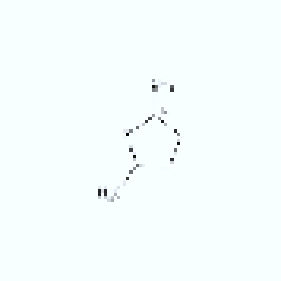 CC1CC[C@@H](C)S1